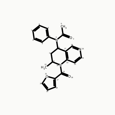 CC(=O)N(c1ccccc1)C1CC(C)N(C(=O)c2ccco2)c2ccncc21